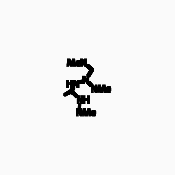 CNCN(NC)NC(C)NNC